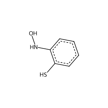 ONc1ccccc1S